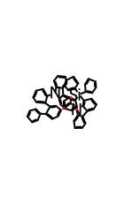 c1ccc(-c2ccccc2-c2ccccc2-n2c3ccccc3c3cc(-n4c5ccccc5c5cccc([Si](c6ccccc6)(c6ccccc6)c6ccccc6)c54)ccc32)cc1